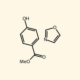 COC(=O)c1ccc(O)cc1.c1cocn1